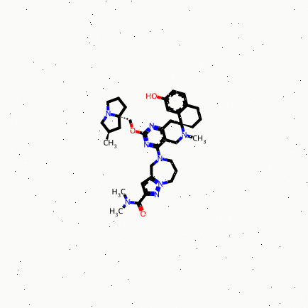 C[C@H]1CN2CCC[C@@]2(COc2nc3c(c(N4CCCn5nc(C(=O)N(C)C)cc5C4)n2)CN(C)[C@]2(CCCc4ccc(O)cc42)C3)C1